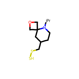 CC(C)N1CCC(CSS)CC12COC2